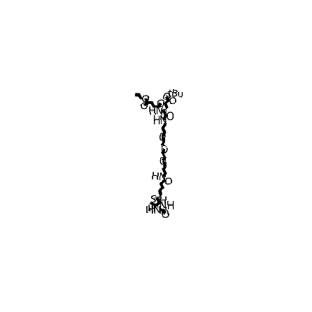 C=CCOC(=O)CCC(=O)N[C@@H](CCC(=O)OC(C)(C)C)C(=O)NCCCOCCOCCOCCCNC(=O)CCCC[C@@H]1SC[C@@H]2NC(=O)N[C@@H]21